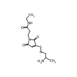 CCNC(=O)CCN1C(=O)C=C(S[N]CC(C)N)C1=O